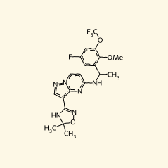 COc1c(OC(F)(F)F)cc(F)cc1[C@@H](C)Nc1ccn2ncc(C3=NOC(C)(C)N3)c2n1